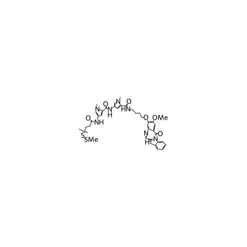 COc1cc2c(cc1OCCCCNC(=O)c1cc(NC(=O)c3cc(NC(=O)CCC(C)(C)SSC)cn3C)cn1C)N=C[C@@H]1Cc3ccccc3N1C2=O